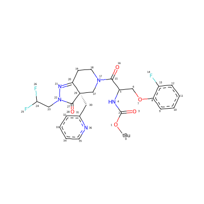 CC(C)(C)OC(=O)NC(COc1ccccc1F)C(=O)N1CCC2=NN(CC(F)F)C(=O)[C@]2(Cc2ccccn2)C1